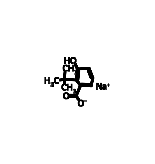 CC(C)(C)c1c(O)cccc1C(=O)[O-].[Na+]